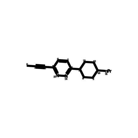 CC#Cc1ccc(C2CCC(CCC)CC2)nn1